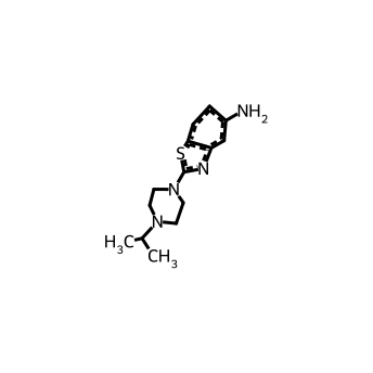 CC(C)N1CCN(c2nc3cc(N)ccc3s2)CC1